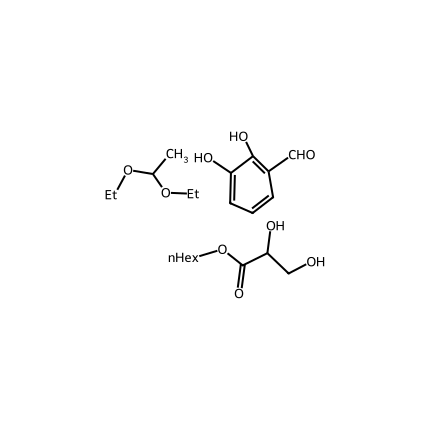 CCCCCCOC(=O)C(O)CO.CCOC(C)OCC.O=Cc1cccc(O)c1O